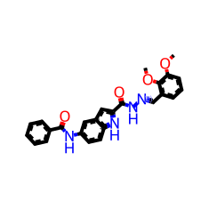 COc1cccc(/C=N/NC(=O)c2cc3cc(NC(=O)c4ccccc4)ccc3[nH]2)c1OC